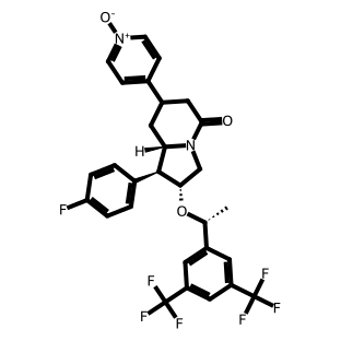 C[C@@H](O[C@H]1CN2C(=O)CC(c3cc[n+]([O-])cc3)C[C@H]2[C@@H]1c1ccc(F)cc1)c1cc(C(F)(F)F)cc(C(F)(F)F)c1